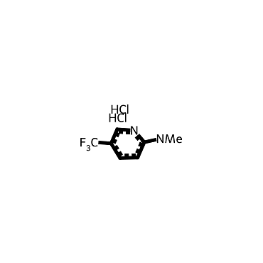 CNc1ccc(C(F)(F)F)cn1.Cl.Cl